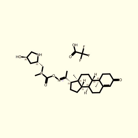 C/C(=N\OC(=O)N(C)C[C@@H]1C[C@@H](O)CN1)[C@H]1CC[C@H]2[C@@H]3CCC4=CC(=O)CC[C@]4(C)[C@H]3CC[C@]12C.O=C(O)C(F)(F)F